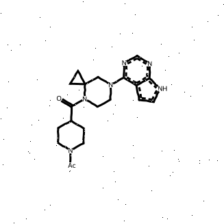 CC(=O)N1CCC(C(=O)N2CCN(c3ncnc4[nH]ccc34)CC23CC3)CC1